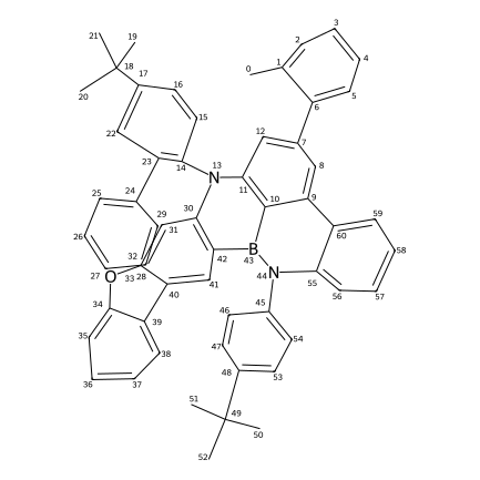 Cc1ccccc1-c1cc2c3c(c1)N(c1ccc(C(C)(C)C)cc1-c1ccccc1)c1cc4oc5ccccc5c4cc1B3N(c1ccc(C(C)(C)C)cc1)c1ccccc1-2